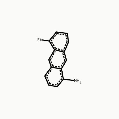 CCc1cccc2cc3c(N)cccc3cc12